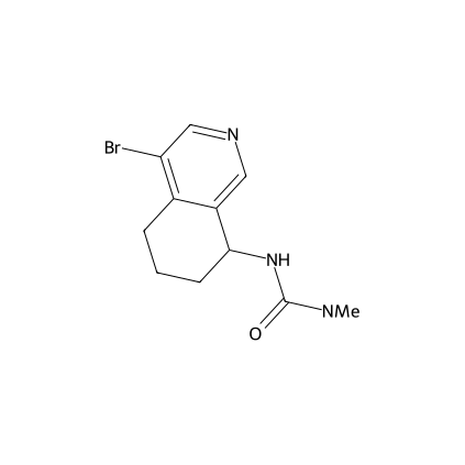 CNC(=O)NC1CCCc2c(Br)cncc21